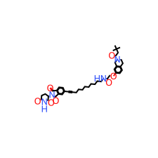 CC(C)(C)CC(=O)N1CCc2ccc(OCC(=O)NCCCCCCCCCC#Cc3ccc4c(c3)C(=O)N(C3CCC(=O)NC3=O)C4=O)cc2C1